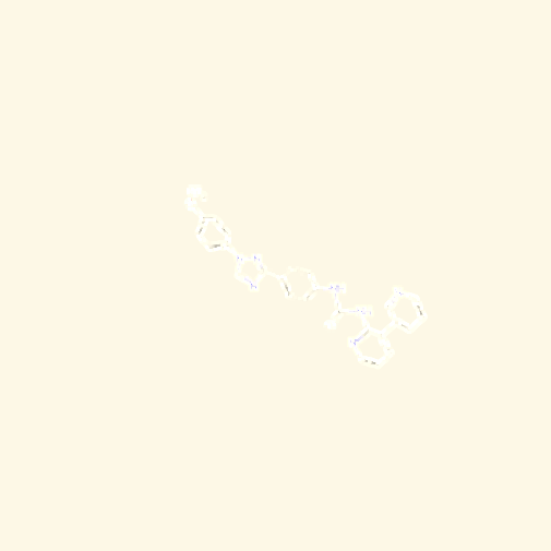 O=C(Nc1ccc(-c2ncn(-c3ccc(OC(F)(F)F)cc3)n2)cc1)Nc1ncccc1-c1cccnc1